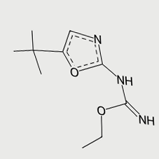 CCOC(=N)Nc1ncc(C(C)(C)C)o1